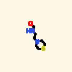 O=CNCCN1CCSCC1